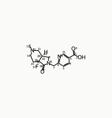 O=C(O)c1ccc(CN2C[C@@H]3CN(I)CC[C@]3(F)C2=O)nc1